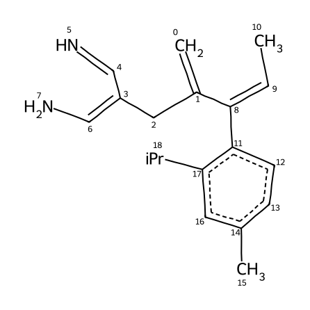 C=C(C/C(C=N)=C/N)/C(=C\C)c1ccc(C)cc1C(C)C